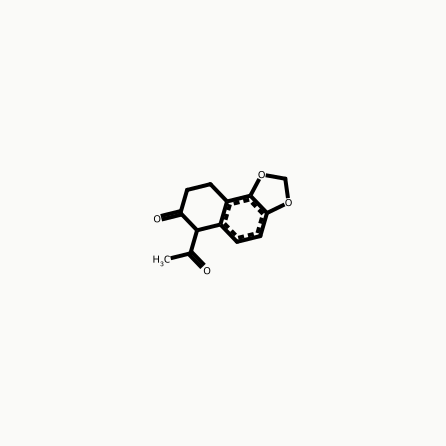 CC(=O)C1C(=O)CCc2c1ccc1c2OCO1